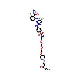 COC(=O)/C=C/CN1CCC(OCCOCCOCCNS(=O)(=O)c2ccc(Nc3ncc(Br)c(Nc4cccc(F)c4C(N)=O)n3)cc2)CC1